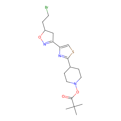 CC(C)(C)C(=O)ON1CCC(c2nc(C3=NOC(CCBr)C3)cs2)CC1